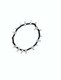 C1CCOCCOCCOCCOCOOCC1